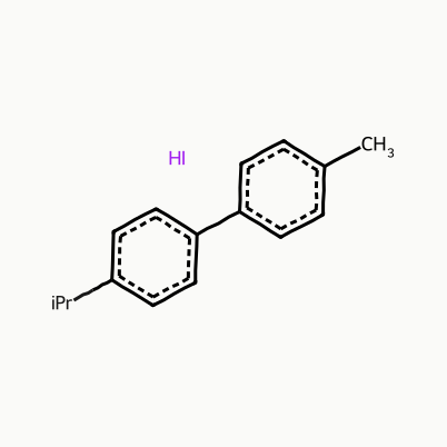 Cc1ccc(-c2ccc(C(C)C)cc2)cc1.I